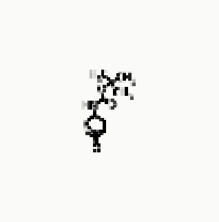 CC(C)(C)OC(=O)NC1CC2CCC1CC2=O